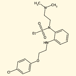 CCS(=O)(=O)N(CCN(C)C)c1ccccc1NCCOc1ccc(Cl)cc1